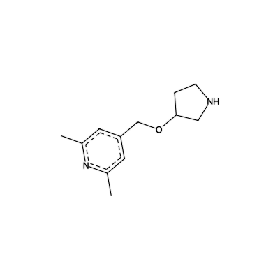 Cc1cc(COC2CCNC2)cc(C)n1